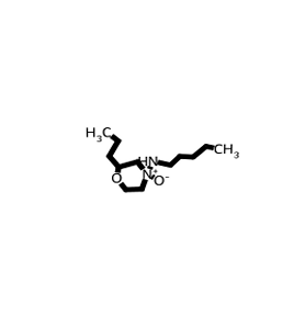 CCCCCN[N+]1([O-])CCOC(CCC)C1